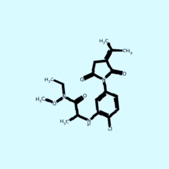 CCN(OC)C(=O)C(C)Nc1cc(N2C(=O)CC(=C(C)C)C2=O)ccc1Cl